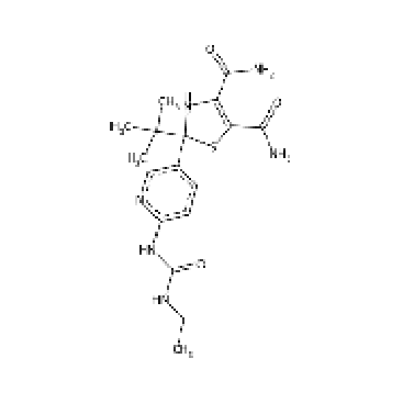 CCNC(=O)Nc1ccc(C2(C(C)(C)C)NC(C(N)=O)=C(C(N)=O)S2)cn1